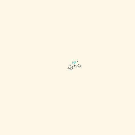 F.[Ce].[La].[Nd]